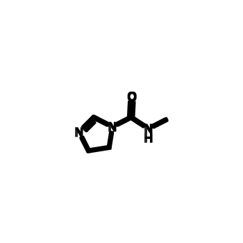 CNC(=O)N1C=NCC1